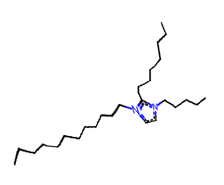 CCCCCCCCCCCC[n+]1ccn(CCCCC)c1CCCCCCC